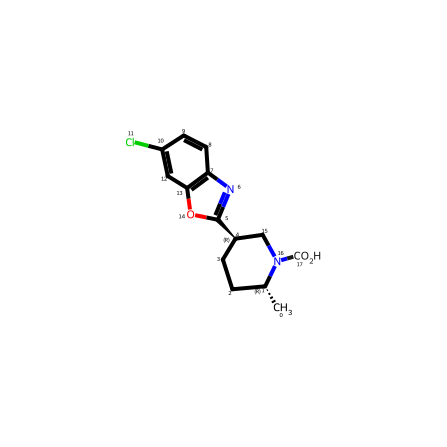 C[C@@H]1CC[C@@H](c2nc3ccc(Cl)cc3o2)CN1C(=O)O